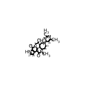 C=CCn1cc(C(=O)N(C)C2CCCN(c3cc(C)nc(C)n3)CC2)c2cc[nH]c2c1=O